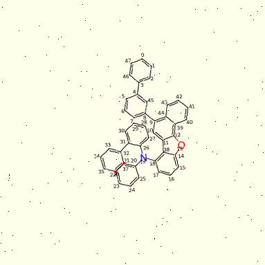 c1ccc(-c2cccc(-c3cc4c(oc5cccc(N(c6ccccc6)c6ccccc6-c6ccccc6)c54)c4ccccc34)c2)cc1